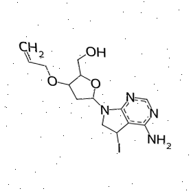 C=CCOC1CC(N2CC(I)c3c(N)ncnc32)OC1CO